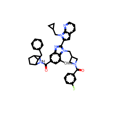 COc1cc(C(=O)N2CC3CCC2[C@@H]3Cc2ccccc2)cc2nc(-c3cc4cccnc4n3CC3CC3)n(CC3CN(C(=O)c4cccc(F)c4)C3)c12